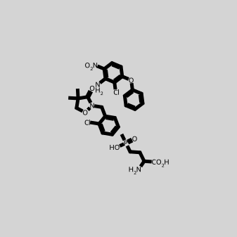 CC1(C)CON(Cc2ccccc2Cl)C1=O.CP(=O)(O)CCC(N)C(=O)O.Nc1c([N+](=O)[O-])ccc(Oc2ccccc2)c1Cl